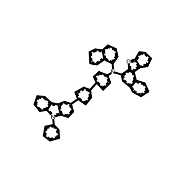 c1ccc(-n2c3ccccc3c3cc(-c4ccc(-c5ccc(N(c6cccc7ccccc67)c6cc7ccccc7c7c6oc6ccccc67)cc5)cc4)ccc32)cc1